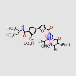 CCCCCC(C(=O)NCNC(=O)c1ccc(-c2ccc(C(=O)NC(CC(=O)O)C(=O)O)c(OCC(=O)O)c2)o1)[C@@H](CC)N(C=O)OC(=O)C(CC)CC